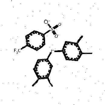 Cc1ccc([I+]c2ccc(C)c(C)c2)cc1C.O=S(=O)([O-])c1ccc(C(F)(F)F)cc1